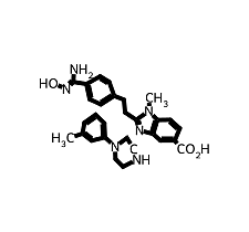 Cc1cccc(N2CCNCC2)c1.Cn1c(CCc2ccc(C(N)=NO)cc2)nc2cc(C(=O)O)ccc21